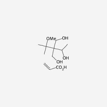 C=CC(=O)O.COC(C)(C)C(CO)(CO)C(C)O